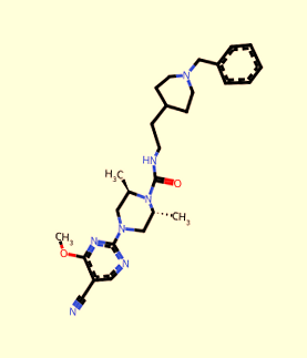 COc1nc(N2C[C@@H](C)N(C(=O)NCCC3CCN(Cc4ccccc4)CC3)[C@H](C)C2)ncc1C#N